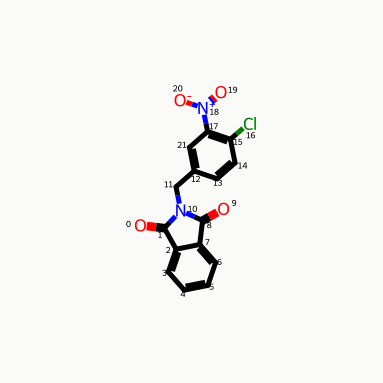 O=C1c2ccccc2C(=O)N1Cc1ccc(Cl)c([N+](=O)[O-])c1